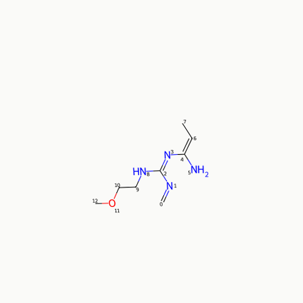 C=N/C(=N\C(N)=C/C)NCCOC